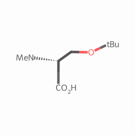 CN[C@H](COC(C)(C)C)C(=O)O